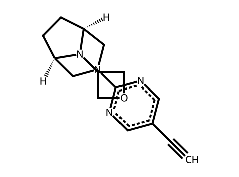 C#Cc1cnc(N2C[C@H]3CC[C@@H](C2)N3C2COC2)nc1